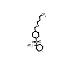 O=C(O)C1(S(=O)(=O)N2CCC(COCCCC(F)(F)F)CC2)CCOCC1